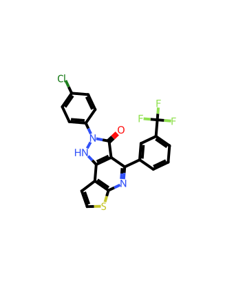 O=c1c2c(-c3cccc(C(F)(F)F)c3)nc3sccc3c2[nH]n1-c1ccc(Cl)cc1